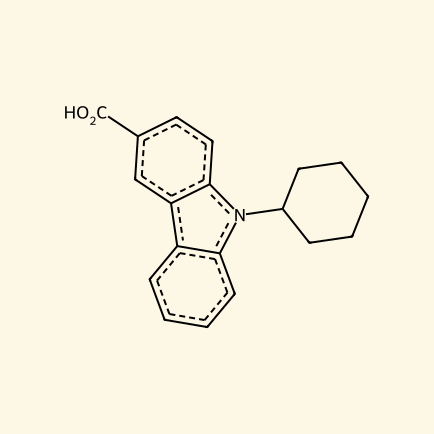 O=C(O)c1ccc2c(c1)c1ccccc1n2C1CCCCC1